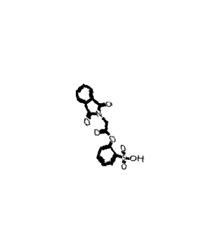 O=C(CN1C(=O)c2ccccc2C1=O)Oc1ccccc1S(=O)(=O)O